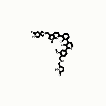 COc1cc(-c2nccc(-c3cccc(-c4ccc5c(CN6CC7(CNC(=O)C7)C6)cn(C)c5n4)c3Cl)c2Cl)ccc1CNCC1CCC(=O)N1